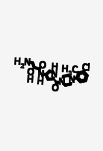 Cc1c(Cl)cccc1N1CCN(C(=O)[C@H]2CC(NC(=O)C(O)CN)CN2)CC1